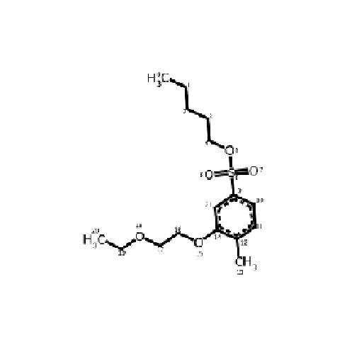 CCCCCOS(=O)(=O)c1ccc(C)c(OCCOCC)c1